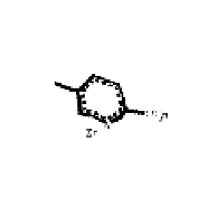 Cc1ccc(C(=O)O)nc1.[Zn]